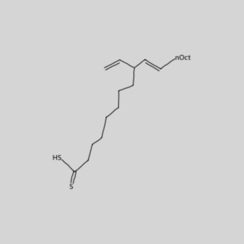 C=CC(C=CCCCCCCCC)CCCCCCCC(=S)S